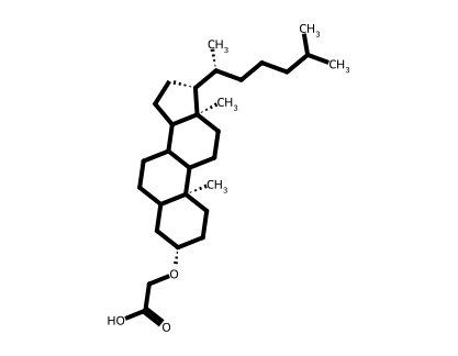 CC(C)CCC[C@@H](C)[C@H]1CCC2C3CCC4C[C@@H](OCC(=O)O)CC[C@]4(C)C3CC[C@@]21C